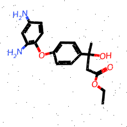 CCOC(=O)CC(C)(O)c1ccc(Oc2ccc(N)cc2N)cc1